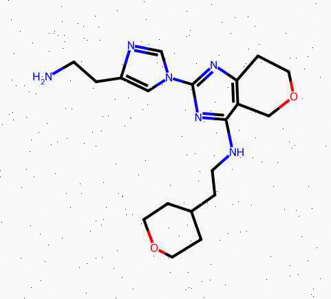 NCCc1cn(-c2nc3c(c(NCCC4CCOCC4)n2)COCC3)cn1